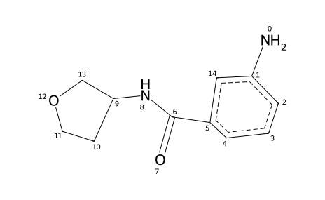 Nc1cccc(C(=O)NC2CCOC2)c1